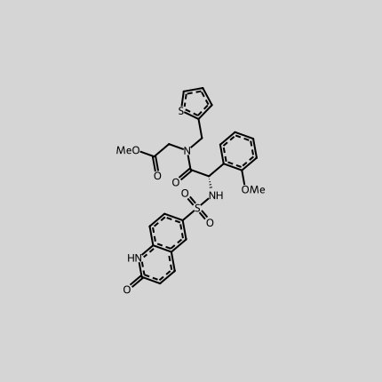 COC(=O)CN(Cc1cccs1)C(=O)[C@@H](NS(=O)(=O)c1ccc2[nH]c(=O)ccc2c1)c1ccccc1OC